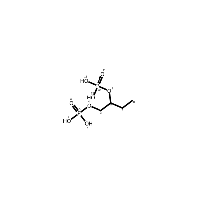 CCC(COP(=O)(O)O)OP(=O)(O)O